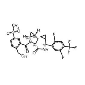 CS(=O)(=O)c1ccc(CO)c(C(=O)N2[C@@H](C(=O)N[C@@H](c3cc(F)c(C(F)(F)F)cc3F)C3CC3)C[C@H]3C[C@H]32)c1